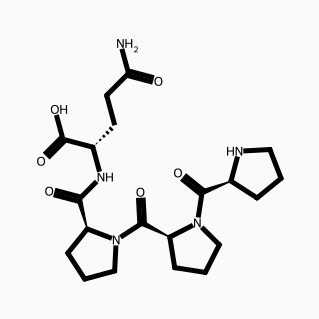 NC(=O)CC[C@H](NC(=O)[C@@H]1CCCN1C(=O)[C@@H]1CCCN1C(=O)[C@@H]1CCCN1)C(=O)O